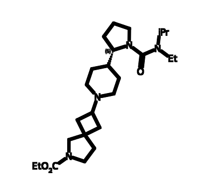 CCOC(=O)N1CCC2(CC(N3CCC([C@@H]4CCCN4C(=O)N(CC)C(C)C)CC3)C2)C1